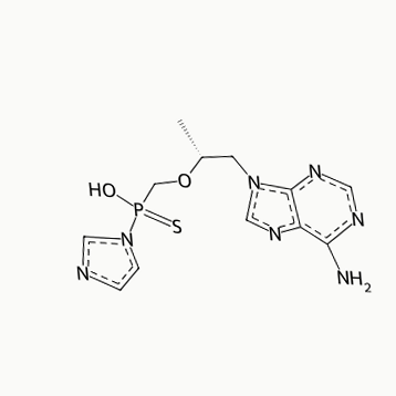 C[C@H](Cn1cnc2c(N)ncnc21)OCP(O)(=S)n1ccnc1